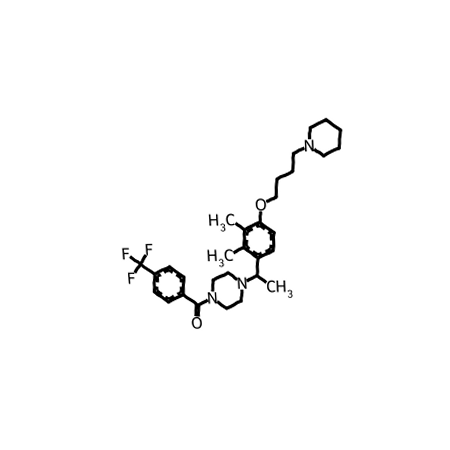 Cc1c(OCCCCN2CCCCC2)ccc(C(C)N2CCN(C(=O)c3ccc(C(F)(F)F)cc3)CC2)c1C